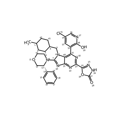 CC1CCC(Cn2c(N3CCOC[C@H]3c3ccccc3)nc3nc(-c4n[nH]c(=O)o4)nc(-c4cc(Cl)cnc4O)c32)CC1